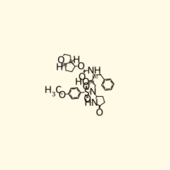 COc1ccc(S(=O)(=O)N(C[C@@H](O)[C@H](Cc2ccccc2)NC(=O)OC2CC[C@H]3OCC[C@@H]23)C2CCC(=O)N2)cc1